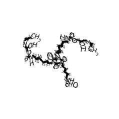 CC1CN1CC(O)COC(=O)NCCCCCCn1c(=O)n(CCCCCCNC=O)c(=O)n(CCCCCCNC(=O)OCC(O)CN2CC2C)c1=O